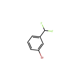 FC(F)c1[c]c(Br)ccc1